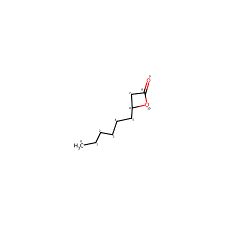 CCCCCCC1CC(=O)O1